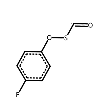 O=[C]SOc1ccc(F)cc1